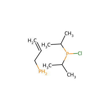 C=CCP.CC(C)P(Cl)C(C)C